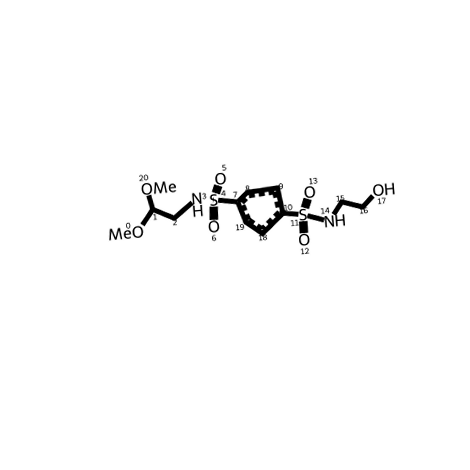 COC(CNS(=O)(=O)c1ccc(S(=O)(=O)NCCO)cc1)OC